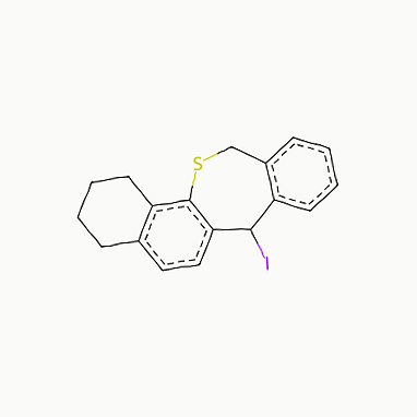 IC1c2ccccc2CSc2c1ccc1c2CCCC1